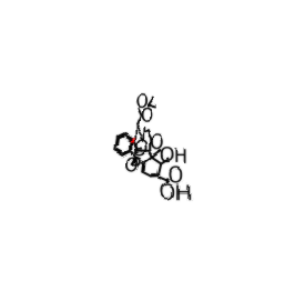 CC1C(C(=O)O)=CC=C(S(=O)(=O)c2ccccc2)C1(C(=O)O)C1CCN(CC2COC(C)(C)O2)CC1